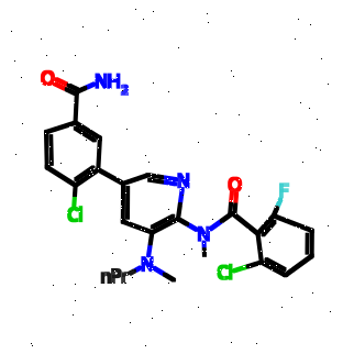 CCCN(C)c1cc(-c2cc(C(N)=O)ccc2Cl)cnc1N(C)C(=O)c1c(F)cccc1Cl